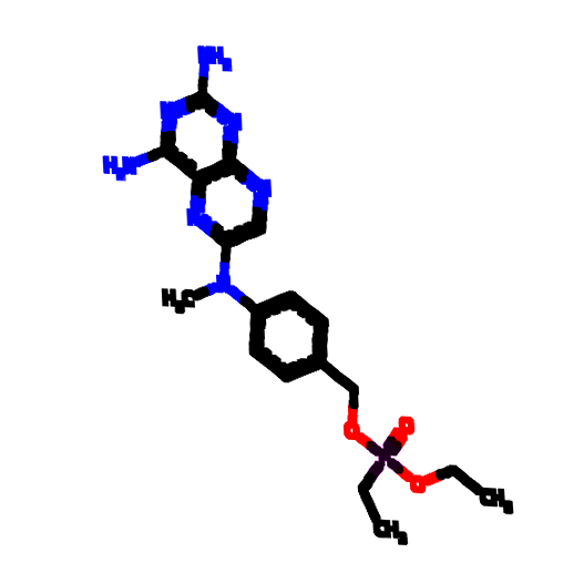 CCOP(=O)(CC)OCc1ccc(N(C)c2cnc3nc(N)nc(N)c3n2)cc1